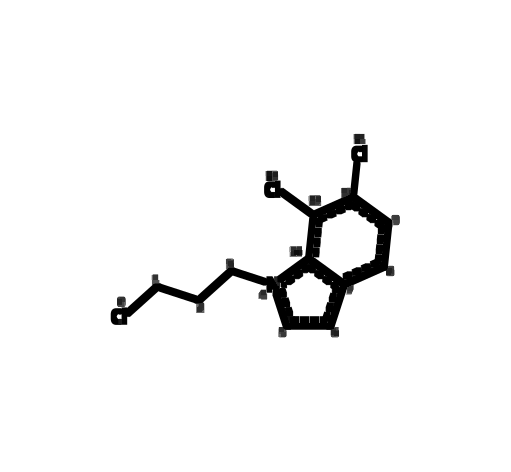 ClCCCn1ccc2ccc(Cl)c(Cl)c21